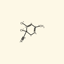 CC1=NCC(Cl)(C#N)C(Cl)=C1